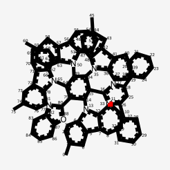 Cc1ccc2c(c1)c1ccccc1n2-c1c(-c2nc(-c3ccccc3)cc(-c3ccccc3)n2)c(-n2c3ccccc3c3cc(C)ccc32)c(-n2c3ccccc3c3cc(C)ccc32)c(-n2c3ccccc3c3cc(C)ccc32)c1-c1nc2ccccc2o1